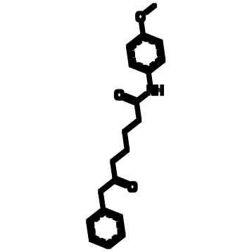 COc1ccc(NC(=O)CCCCC(=O)Cc2ccccc2)cc1